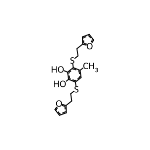 Cc1cc(SCCc2ccco2)c(O)c(O)c1SCCc1ccco1